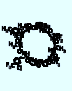 CC[C@H](C)[C@@H]1NC(=O)[C@H](CC(C)C)N(C)C(=O)C[C@@H](C)NC(=O)[C@H](C(C)C)N(C)C(=O)C2(CCCC2)NC(=O)[C@@H]2CCCN2C(=O)[C@H](CCc2ccc(C(F)(F)F)c(Cl)c2)NC(=O)CN(C)C(=O)[C@H](Cc2cccc(C)c2)N(C)C(=O)CN(C)C(=O)CN(C)C1=O